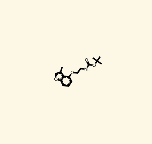 Cc1coc2cccc(OCCNC(=O)OC(C)(C)C)c12